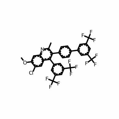 COc1cc2nc(C)c(-c3ccc(-c4cc(C(F)(F)F)cc(C(F)(F)F)c4)cc3)c(-c3cc(C(F)(F)F)cc(C(F)(F)F)c3)c2cc1Cl